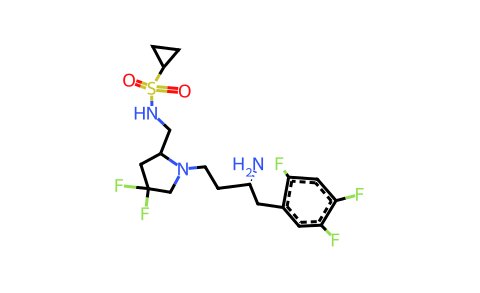 N[C@@H](CCN1CC(F)(F)CC1CNS(=O)(=O)C1CC1)Cc1cc(F)c(F)cc1F